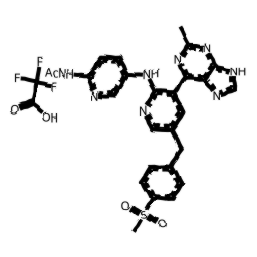 CC(=O)Nc1ccc(Nc2ncc(Cc3ccc(S(C)(=O)=O)cc3)cc2-c2nc(C)nc3[nH]cnc23)cn1.O=C(O)C(F)(F)F